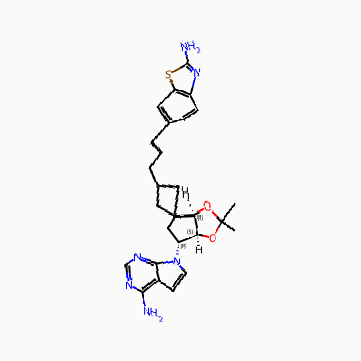 CC1(C)O[C@H]2[C@H](n3ccc4c(N)ncnc43)CC3(CC(CCCc4ccc5nc(N)sc5c4)C3)[C@H]2O1